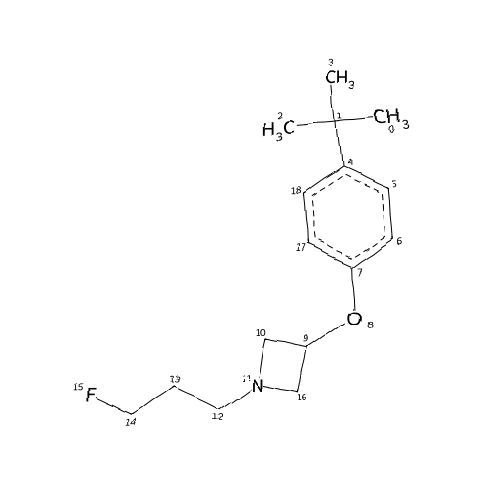 CC(C)(C)c1ccc(OC2CN(CCCF)C2)cc1